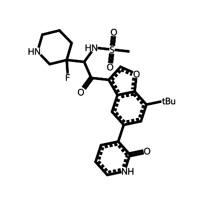 CC(C)(C)c1cc(-c2ccc[nH]c2=O)cc2c(C(=O)C(NS(C)(=O)=O)C3(F)CCCNC3)coc12